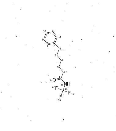 O=C(CCCCCc1ccccc1)NC(F)(F)F